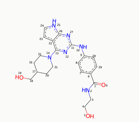 O=C(NCCO)c1ccc(Nc2nc(N3CCC(CO)CC3)c3cc[nH]c3n2)cc1